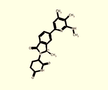 CNc1nc(-c2ccc3c(c2)[C@@H](C)N(C2CCC(=O)NC2=O)C3=O)cc(C)c1C